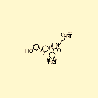 CCNC(=O)CCCNC(=O)C(C1CCCCC1)C(C)N1CCC(C)(c2cccc(O)c2)C(C)C1.Cl.O